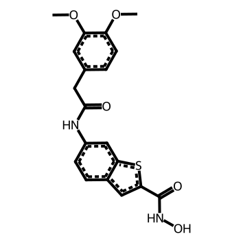 COc1ccc(CC(=O)Nc2ccc3cc(C(=O)NO)sc3c2)cc1OC